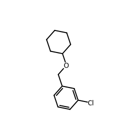 Clc1cccc(COC2CCCCC2)c1